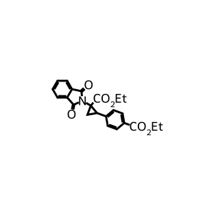 CCOC(=O)c1ccc(C2CC2(C(=O)OCC)N2C(=O)c3ccccc3C2=O)cc1